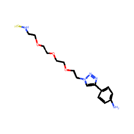 Nc1ccc(-c2cn(CCOCCOCCOCCNS)nn2)cc1